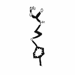 [CH2]c1ccc(OCCNC(=O)OC(C)(C)C)cc1